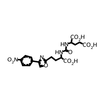 O=C(O)CCC(NC(=O)NC(CCc1nc(-c2ccc([N+](=O)[O-])cc2)co1)C(=O)O)C(=O)O